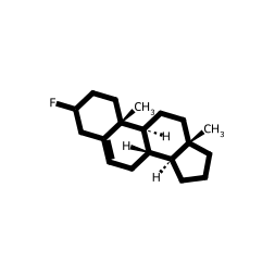 C[C@@]12CCC[C@H]1[C@@H]1CC=C3CC(F)CC[C@]3(C)[C@H]1CC2